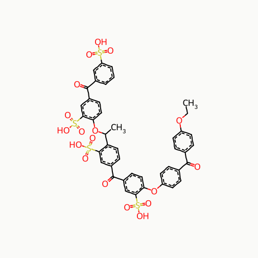 CCOc1ccc(C(=O)c2ccc(Oc3ccc(C(=O)c4ccc(C(C)Oc5ccc(C(=O)c6cccc(S(=O)(=O)O)c6)cc5S(=O)(=O)O)c(S(=O)(=O)O)c4)cc3S(=O)(=O)O)cc2)cc1